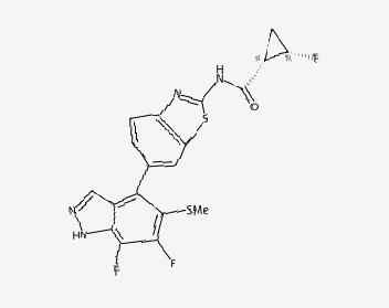 CSc1c(F)c(F)c2[nH]ncc2c1-c1ccc2nc(NC(=O)[C@@H]3C[C@@H]3F)sc2c1